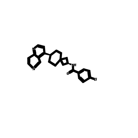 O=C(N[C@H]1CC2(CC[C@H](c3ccnc4ccncc43)CC2)C1)c1ccc(Cl)cc1